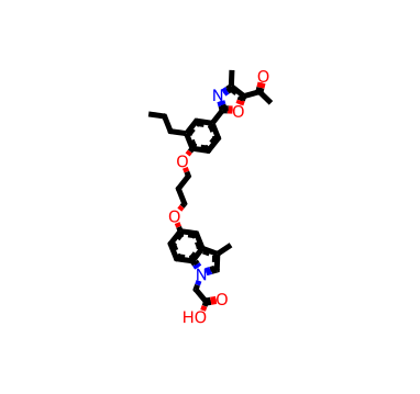 CCCc1cc(-c2nc(C)c(C(C)=O)o2)ccc1OCCCOc1ccc2c(c1)c(C)cn2CC(=O)O